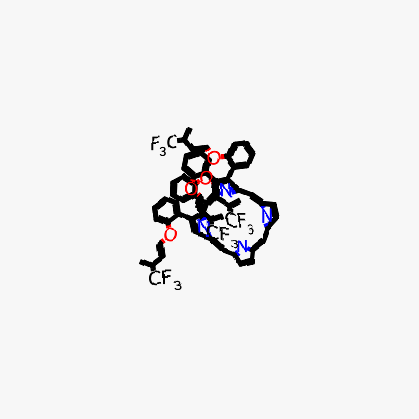 CC(C=COc1ccccc1C1=CC2=CC3=NC(=CC4=NC(=CC5=NC(=C(c6ccccc6OC=CC(C)C(F)(F)F)C1=N2)C(c1ccccc1OC=CC(C)C(F)(F)F)=C5c1ccccc1OC=CC(C)C(F)(F)F)C=C4)C=C3)C(F)(F)F